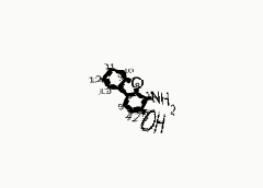 Nc1c(O)ccc2c1oc1ccccc12